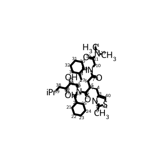 Cc1nc(C[C@H](CC(=O)NCC(=O)N(C)C)C(=O)N(CC2CCCCC2)[C@@H](CC2CCCCC2)[C@@H](O)[C@@H](O)CC(C)C)cs1